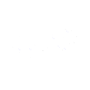 c1ccc(N2CCOc3cc(Nc4n[nH]c5cccnc45)ccc32)nc1